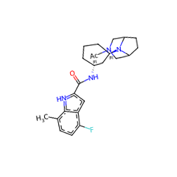 CC(=O)N1CC2CCC(C1)N2[C@@H]1CCC[C@@H](NC(=O)c2cc3c(F)ccc(C)c3[nH]2)C1